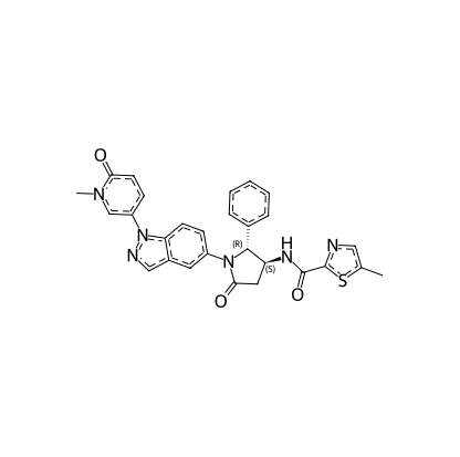 Cc1cnc(C(=O)N[C@H]2CC(=O)N(c3ccc4c(cnn4-c4ccc(=O)n(C)c4)c3)[C@@H]2c2ccccc2)s1